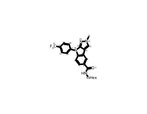 CCCCCCNC(=O)c1ccc2c(c1)c1cn(C)nc1n2-c1ccc(C(F)(F)F)cc1